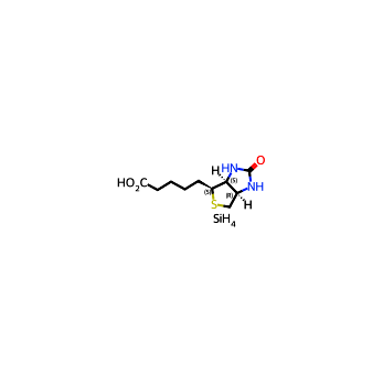 O=C(O)CCCC[C@@H]1SC[C@@H]2NC(=O)N[C@@H]21.[SiH4]